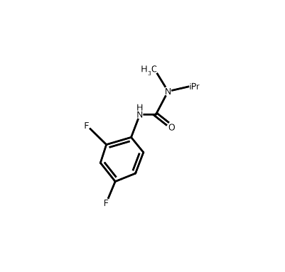 CC(C)N(C)C(=O)Nc1ccc(F)cc1F